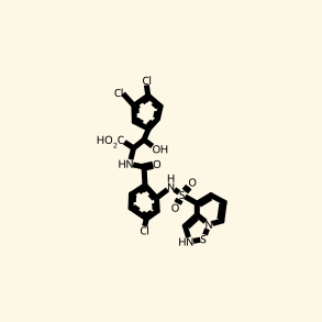 O=C(NC(C(=O)O)C(O)c1ccc(Cl)c(Cl)c1)c1ccc(Cl)cc1NS(=O)(=O)C1=CC=CN2SNC=C12